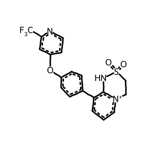 O=S1(=O)CC[n+]2cccc(-c3ccc(Oc4ccnc(C(F)(F)F)c4)cc3)c2N1